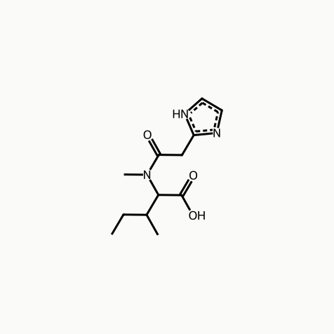 CCC(C)C(C(=O)O)N(C)C(=O)Cc1ncc[nH]1